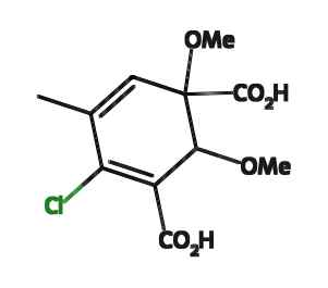 COC1C(C(=O)O)=C(Cl)C(C)=CC1(OC)C(=O)O